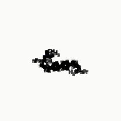 C=C(CC(/C=C\C)=C/C)N(CCC)Cc1ncc(-c2ccc(-c3ccc(-c4cnc(CN(C)CCC)s4)cc3)cc2)s1